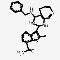 Cc1sc2c(C(N)=O)cccc2c1C1NC2=C(CC=CN=C2)C(NCc2ccccc2)N1